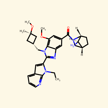 CCn1c(-c2nc3cc(C(=O)N4C[C@H]5CC[C@@H]4[C@@H]5N)cc(OC)c3n2C[C@H]2C[C@](C)(OC)C2)cc2cccnc21